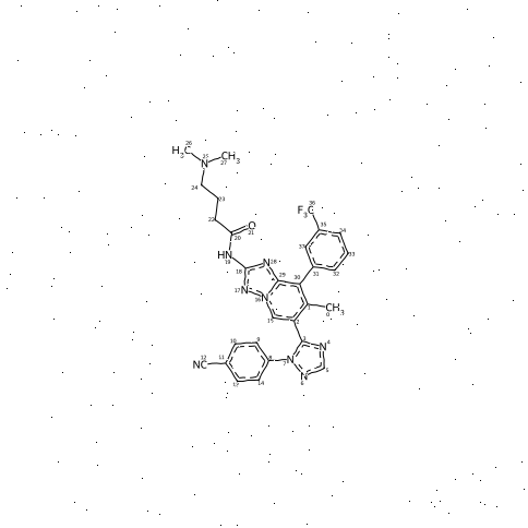 Cc1c(-c2ncnn2-c2ccc(C#N)cc2)cn2nc(NC(=O)CCCN(C)C)nc2c1-c1cccc(C(F)(F)F)c1